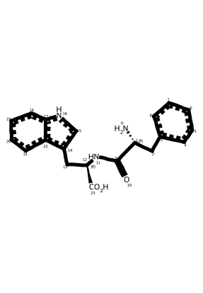 N[C@H](Cc1ccccc1)C(=O)N[C@H](Cc1c[nH]c2ccccc12)C(=O)O